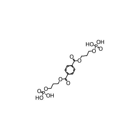 O=C(OCCCOP(=O)(O)O)c1ccc(C(=O)OCCCOP(=O)(O)O)cc1